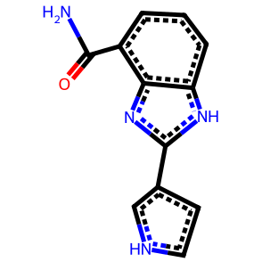 NC(=O)c1cccc2[nH]c(-c3cc[nH]c3)nc12